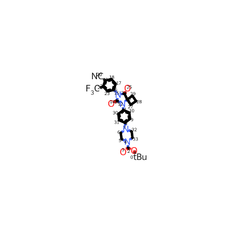 CC(C)(C)OC(=O)N1CCN(c2ccc(N3C(=O)N(c4ccc(C#N)c(C(F)(F)F)c4)C(=O)C34CCC4)cc2)CC1